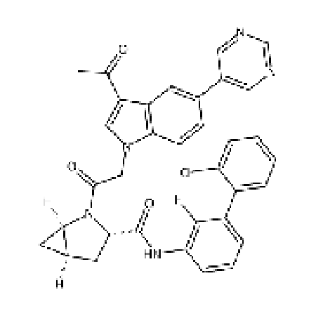 CC(=O)c1cn(CC(=O)N2[C@@H]3C[C@@H]3C[C@H]2C(=O)Nc2cccc(-c3ccccc3Cl)c2F)c2ccc(-c3cncnc3)cc12